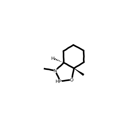 CN1PO[C@@]2(C)CCCC[C@H]12